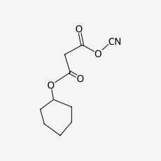 N#COC(=O)CC(=O)OC1CCCCC1